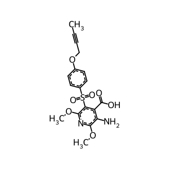 CC#CCOc1ccc(S(=O)(=O)c2c(OC)nc(OC)c(N)c2C(=O)O)cc1